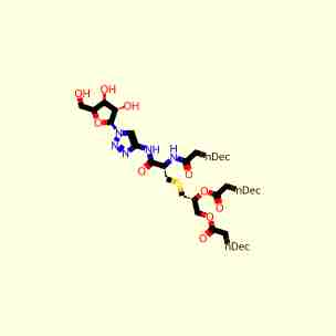 CCCCCCCCCCCC(=O)N[C@H](CSC[C@@H](COC(=O)CCCCCCCCCCC)OC(=O)CCCCCCCCCCC)C(=O)Nc1cn([C@H]2OC(CO)[C@@H](O)[C@@H]2O)nn1